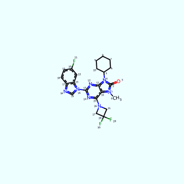 Cn1c(=O)n(C2CCCCC2)c2nc(-n3cnc4ccc(F)cc43)nc(N3CC(F)(F)C3)c21